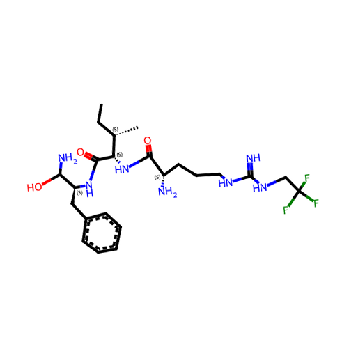 CC[C@H](C)[C@H](NC(=O)[C@@H](N)CCCNC(=N)NCC(F)(F)F)C(=O)N[C@@H](Cc1ccccc1)C(N)O